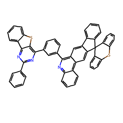 c1ccc(-c2nc(-c3cccc(-c4nc5ccccc5c5cc6c(cc45)-c4ccccc4C64c5ccccc5Sc5ccccc54)c3)c3sc4ccccc4c3n2)cc1